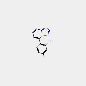 N#Cc1ccc(-c2cccc3ncnn23)c(N)c1